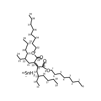 CCCCCCCCOC(=O)/C(CC(CC)CCCC)=C(/CC(CC)CCCC)C(=O)OCCCCCCCC.[SnH2]